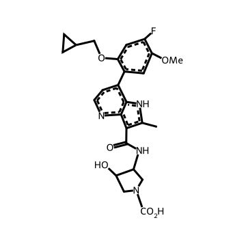 COc1cc(-c2ccnc3c(C(=O)NC4CN(C(=O)O)CC4O)c(C)[nH]c23)c(OCC2CC2)cc1F